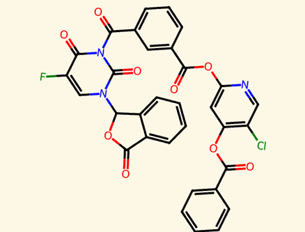 O=C(Oc1cc(OC(=O)c2ccccc2)c(Cl)cn1)c1cccc(C(=O)n2c(=O)c(F)cn(C3OC(=O)c4ccccc43)c2=O)c1